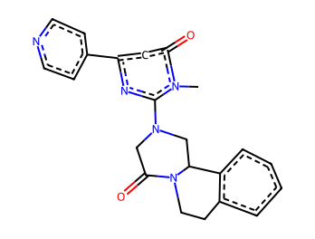 Cn1c(N2CC(=O)N3CCc4ccccc4C3C2)nc(-c2ccncc2)cc1=O